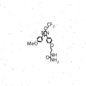 COc1ccc(-n2nc(OCC(F)(F)F)nc2-c2ccc(OCCCNC(N)=O)cc2)cc1